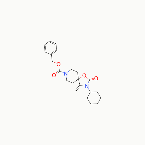 C=C1N(C2CCCCC2)C(=O)OC12CCN(C(=O)OCc1ccccc1)CC2